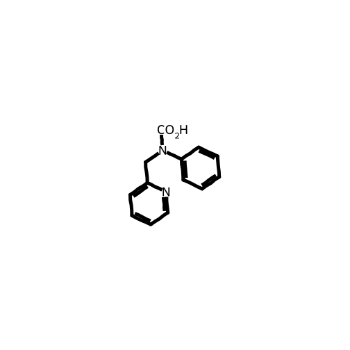 O=C(O)N(Cc1ccccn1)c1ccccc1